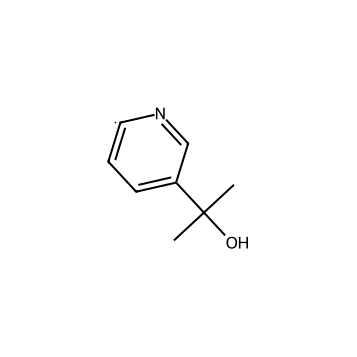 CC(C)(O)c1cc[c]nc1